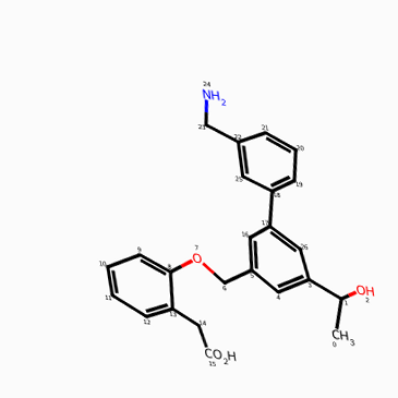 CC(O)c1cc(COc2ccccc2CC(=O)O)cc(-c2cccc(CN)c2)c1